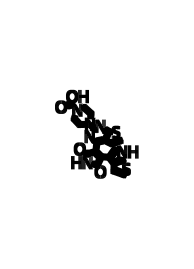 O=C1NC(=O)C(c2c[nH]c3sccc23)=C1c1nc(N2CCN(C(=O)O)CC2)nc2sccc12